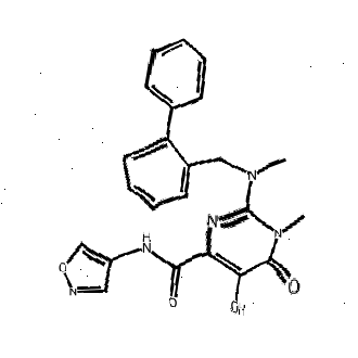 CN(Cc1ccccc1-c1ccccc1)c1nc(C(=O)Nc2cnoc2)c(O)c(=O)n1C